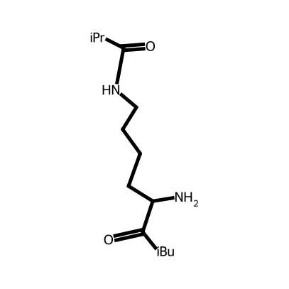 CCC(C)C(=O)C(N)CCCCNC(=O)C(C)C